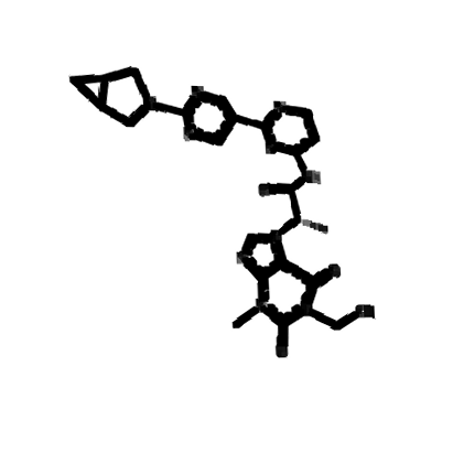 C[C@@H](C(=O)Nc1ccnc(-c2cnc(N3CC4CC4C3)nc2)n1)n1cnc2c1c(=O)n(CC#N)c(=O)n2C